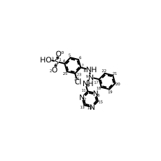 O=S(=O)(O)c1ccc(NN(Nc2ncncn2)c2ccccc2)c(Cl)c1